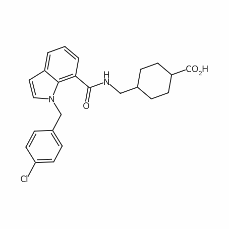 O=C(NCC1CCC(C(=O)O)CC1)c1cccc2ccn(Cc3ccc(Cl)cc3)c12